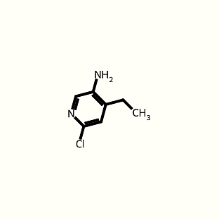 CCc1cc(Cl)ncc1N